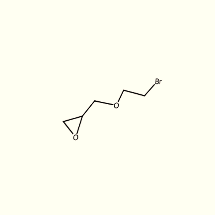 BrCCOCC1CO1